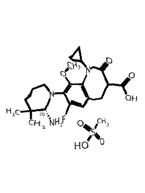 COc1c2c(cc(F)c1N1CCCC(C)(C)[C@H]1N)CC(C(=O)O)C(=O)N2C1CC1.CS(=O)(=O)O